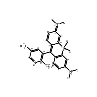 CN(C)c1ccc2c(c1)[Si](C)(C)C1=CC(=[N+](C)C)C=CC1=C2c1cc(C(=O)O)cnc1C(=O)O